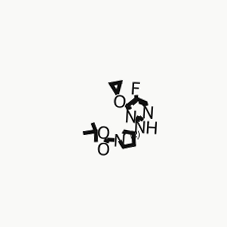 CC(C)(C)OC(=O)N1CC[C@@H](Nc2ncc(F)c(OC3CC3)n2)C1